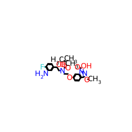 COc1nn(C(=O)O)c2cc(OCCN(CC(O)c3ccc(F)c(N)c3)C(=O)OC(C)(C)C)ccc12